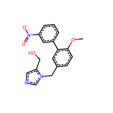 COc1ccc(Cn2cncc2CO)cc1-c1cccc([N+](=O)[O-])c1